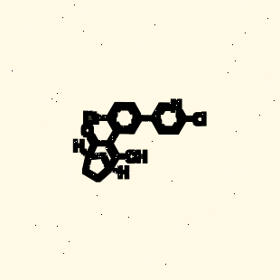 CCc1ccc(-c2ccc(Cl)nc2)cc1C1=C(O)[C@H]2CC[C@H](C2)C1=O